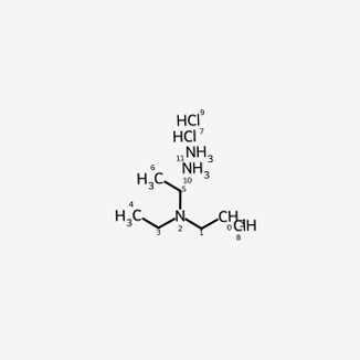 CCN(CC)CC.Cl.Cl.Cl.N.N